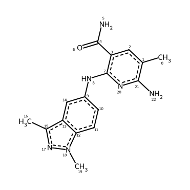 Cc1cc(C(N)=O)c(Nc2ccc3c(c2)c(C)nn3C)nc1N